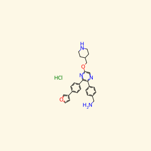 Cl.NCc1ccc(-c2ncc(OCC3CCNCC3)nc2-c2ccc(-c3ccoc3)cc2)cc1